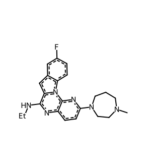 CCNc1nc2ccc(N3CCCN(C)CC3)nc2n2c1cc1cc(F)ccc12